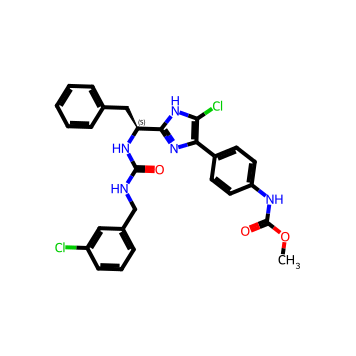 COC(=O)Nc1ccc(-c2nc([C@H](Cc3ccccc3)NC(=O)NCc3cccc(Cl)c3)[nH]c2Cl)cc1